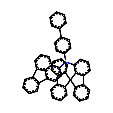 c1ccc(-c2ccc(N(c3cccc4c3C3(c5ccccc5-c5ccccc53)c3ccccc3-4)c3ccc4c5c(cccc35)-c3ccccc3-4)cc2)cc1